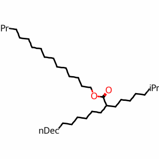 CCCCCCCCCCCCCCCCC(CCCCCC(C)C)C(=O)OCCCCCCCCCCCCCC(C)C